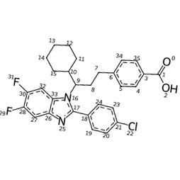 O=C(O)c1ccc(CCC(C2CCCCC2)n2c(-c3ccc(Cl)cc3)nc3cc(F)c(F)cc32)cc1